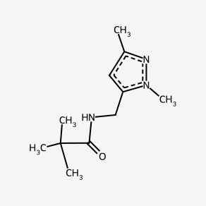 Cc1cc(CNC(=O)C(C)(C)C)n(C)n1